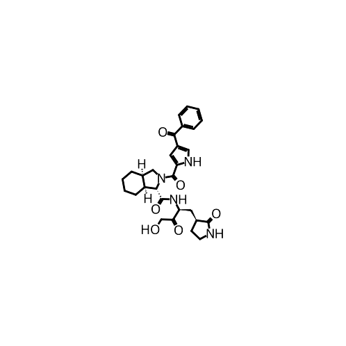 O=C(c1ccccc1)c1c[nH]c(C(=O)N2C[C@@H]3CCCC[C@@H]3[C@H]2C(=O)N[C@@H](C[C@@H]2CCNC2=O)C(=O)CO)c1